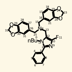 CCCCn1c(-c2ccccc2)nc(F)c1CN(Cc1ccc2c(c1)OCO2)Cc1ccc2c(c1)OCO2